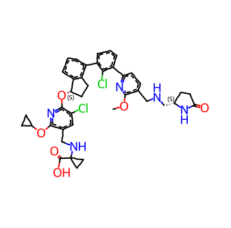 COc1nc(-c2cccc(-c3cccc4c3CC[C@@H]4Oc3nc(OC4CC4)c(CNC4(C(=O)O)CC4)cc3Cl)c2Cl)ccc1CNC[C@@H]1CCC(=O)N1